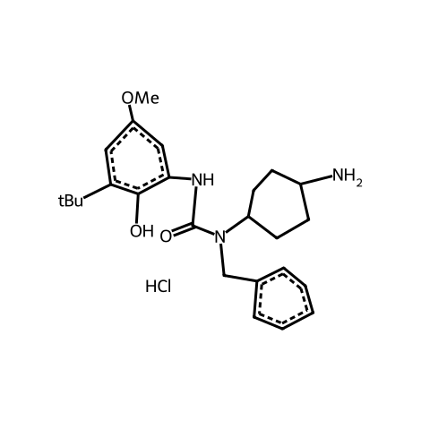 COc1cc(NC(=O)N(Cc2ccccc2)C2CCC(N)CC2)c(O)c(C(C)(C)C)c1.Cl